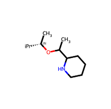 CC(O[C@@H](C)C(C)C)C1CCCCN1